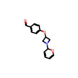 O=Cc1ccc(OC2CN(C3C=CC=CO3)C2)cc1